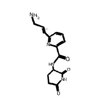 NC/C=C/c1cccc(C(=O)NC2CCC(=O)NC2=O)n1